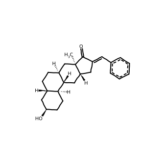 C[C@@]12C[C@@H]3CC[C@H]4C[C@H](O)CC[C@@H]4[C@H]3C[C@H]1C/C(=C\c1ccccc1)C2=O